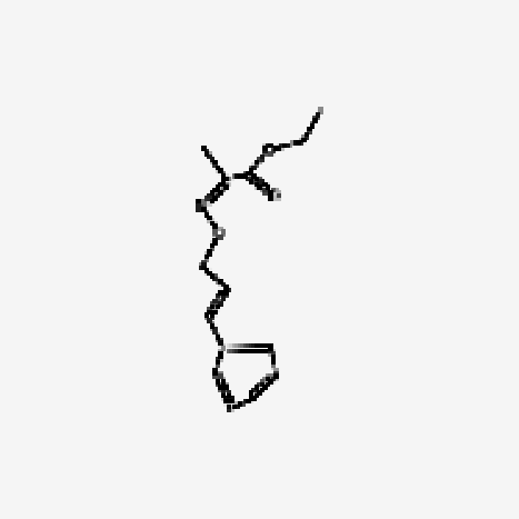 CCOC(=O)C(C)=NOCC=Cc1ccccc1